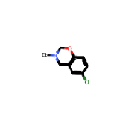 CCN1COc2ccc(Cl)cc2C1